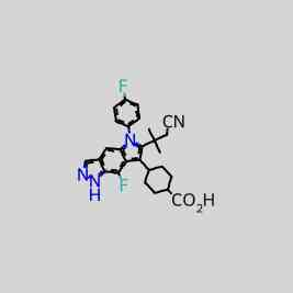 CC(C)(CC#N)c1c(C2CCC(C(=O)O)CC2)c2c(F)c3[nH]ncc3cc2n1-c1ccc(F)cc1